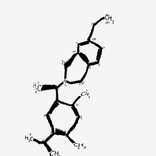 C=C(c1cc(C(C)C)c(C)cc1C)N1Cc2ccc(CC)cc2C1